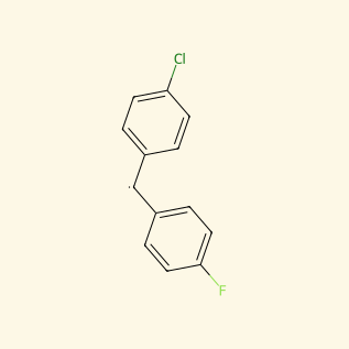 Fc1ccc([CH]c2ccc(Cl)cc2)cc1